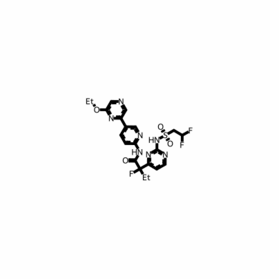 CCOc1cncc(-c2ccc(NC(=O)C(F)(CC)c3ccnc(NS(=O)(=O)CC(F)F)n3)nc2)n1